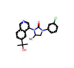 CC(C)(O)c1ccc2cncc(N3C(=O)N(c4cccc(Cl)c4)CC3C#N)c2c1